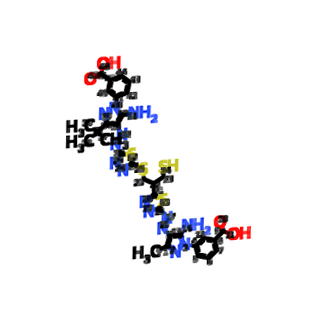 Cc1nn(-c2cccc(C(=O)O)c2)c(N)c1N=Nc1nnc(C(CS)CSc2nnc(N=Nc3c(C(C)(C)C)nn(-c4cccc(C(=O)O)c4)c3N)s2)s1